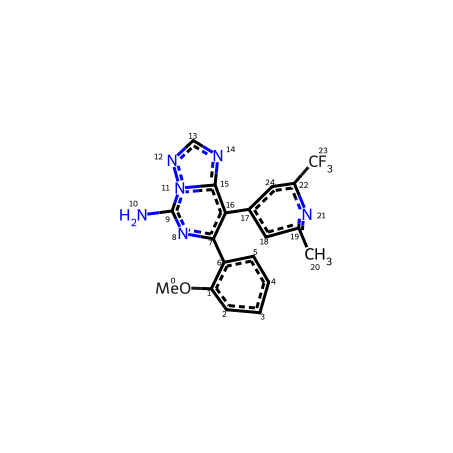 COc1ccccc1-c1nc(N)n2ncnc2c1-c1cc(C)nc(C(F)(F)F)c1